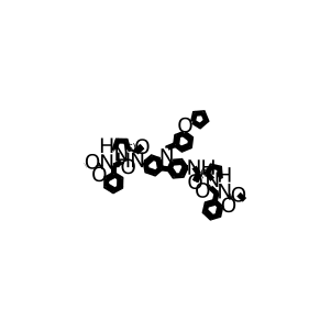 COC(=O)NC(C(=O)N1CCC[C@H]1C(=O)Nc1ccc2c3ccc(NC(=O)[C@@H]4CCCN4C(=O)C(NC(=O)OC)c4ccccc4)cc3n(Cc3cccc(OC4CCCC4)c3)c2c1)c1ccccc1